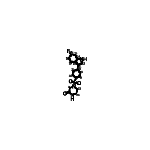 O=C1CN(S(=O)(=O)c2ccc(-c3c[nH]c4cc(F)ccc34)cc2)CCN1